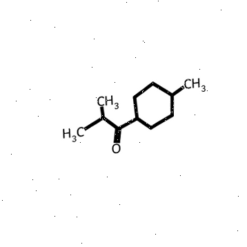 CC1CCC(C(=O)C(C)C)CC1